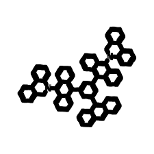 c1ccc2c(c1)CN(c1c3ccccc3c(-c3cc(-c4c5ccccc5cc5ccccc45)cc(-c4c5ccccc5c(N5Cc6ccccc6-c6ccccc65)c5ccccc45)c3)c3ccccc13)c1ccccc1-2